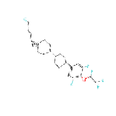 FCCCC[Si@H]1CC[C@H](C2CCC(c3cc(F)c(OC(F)=C(F)F)c(F)c3)CC2)CC1